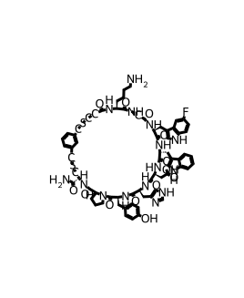 NCCCC[C@@H]1NC(=O)CCSCc2cccc(c2)CSC[C@@H](C(N)=O)NC(=O)[C@@H]2CCCN2C(=O)[C@H](Cc2ccc(O)cc2)NC(=O)[C@H](Cc2c[nH]cn2)NC(=O)[C@H](CC(=O)O)NC(=O)[C@@H](Cc2c[nH]c3ccccc23)NC(=O)[C@H](Cc2c[nH]c3ccc(F)cc23)NC(=O)CNC1=O